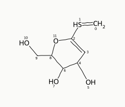 C=[SH]C1=CC(O)C(O)C(CO)O1